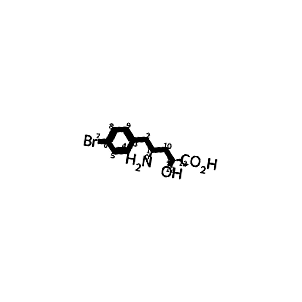 N[C@H](Cc1ccc(Br)cc1)C[C@@H](O)C(=O)O